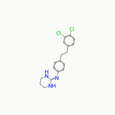 Clc1ccc(CCc2ccc(N=C3NCCCN3)cc2)cc1Cl